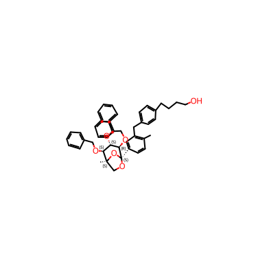 Cc1ccc([C@]23OC[C@](C)(O2)[C@@H](OCc2ccccc2)[C@H](OCc2ccccc2)[C@H]3OCc2ccccc2)cc1Cc1ccc(CCCCO)cc1